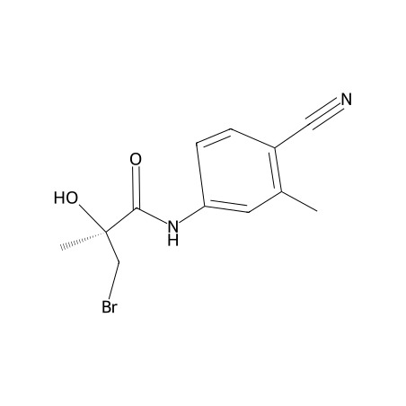 Cc1cc(NC(=O)[C@](C)(O)CBr)ccc1C#N